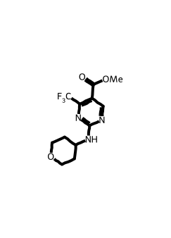 COC(=O)c1cnc(NC2CCOCC2)nc1C(F)(F)F